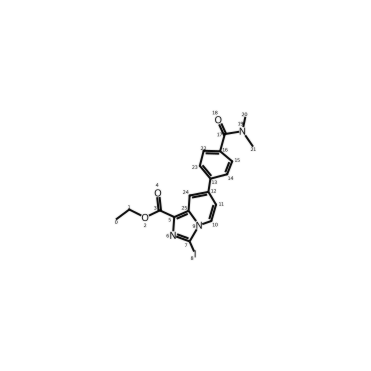 CCOC(=O)c1nc(I)n2ccc(-c3ccc(C(=O)N(C)C)cc3)cc12